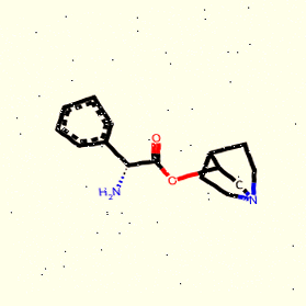 N[C@@H](C(=O)OC1CN2CCC1CC2)c1ccccc1